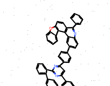 c1ccc(-c2cc(-c3ccc(-c4ccc5nc(-c6ccccc6)c6ccc7oc8ccccc8c7c6c5c4)cc3)nc(-c3ccccc3-c3ccccc3)n2)cc1